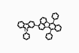 c1ccc(-c2c3c(c(-c4ccccc4)c4ccccc24)-c2ccc(-c4ccc5c6ccccc6n(-c6ccccc6)c5c4)c4cccc-3c24)cc1